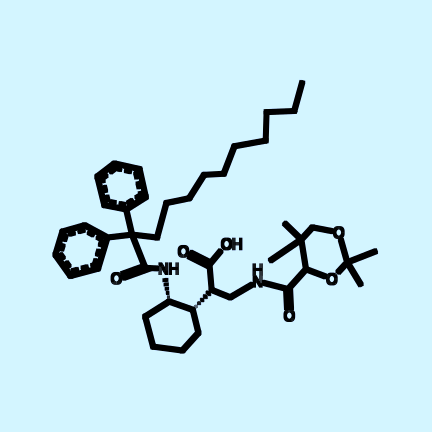 CCCCCCCCCCC(C(=O)N[C@H]1CCCC[C@H]1C(CNC(=O)C1OC(C)(C)OCC1(C)C)C(=O)O)(c1ccccc1)c1ccccc1